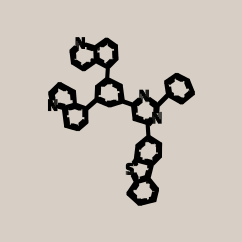 c1ccc(-c2nc(-c3cc(-c4cccc5ncccc45)cc(-c4cccc5ncccc45)c3)cc(-c3ccc4c(c3)sc3ccccc34)n2)cc1